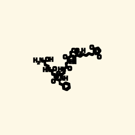 NC(O)CCNC(=O)CNC(=O)[C@H](Cc1ccccc1)NC(=O)CNC(=O)CNC(=O)C(CC(=O)O)NC(=O)CCCCCN1C(=O)C=CC1=O